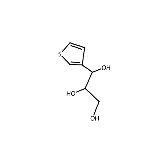 OCC(O)C(O)c1ccsc1